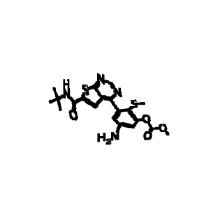 COC(=O)Oc1cc(N)cc(-c2ncnc3sc(C(=O)NC(C)(C)C)cc23)c1SC